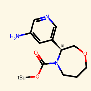 CC(C)(C)OC(=O)N1CCCOC[C@@H]1c1cncc(N)c1